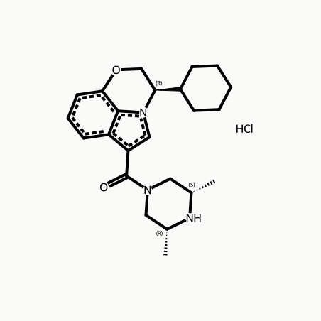 C[C@@H]1CN(C(=O)c2cn3c4c(cccc24)OC[C@H]3C2CCCCC2)C[C@H](C)N1.Cl